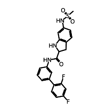 CS(=O)(=O)Nc1ccc2c(c1)NC(C(=O)Nc1cccc(-c3ccc(F)cc3F)c1)C2